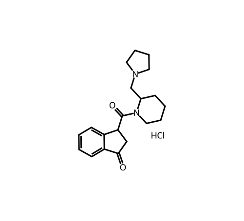 Cl.O=C1CC(C(=O)N2CCCCC2CN2CCCC2)c2ccccc21